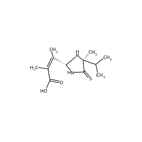 C/C(C(=O)O)=C(\C)[C@H]1NC(=S)[C@](C)(C(C)C)N1